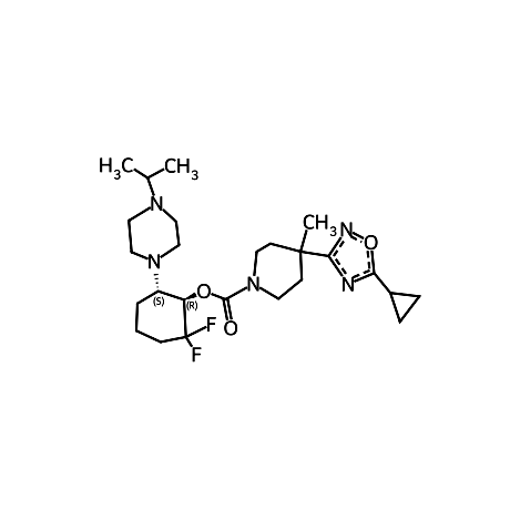 CC(C)N1CCN([C@H]2CCCC(F)(F)[C@@H]2OC(=O)N2CCC(C)(c3noc(C4CC4)n3)CC2)CC1